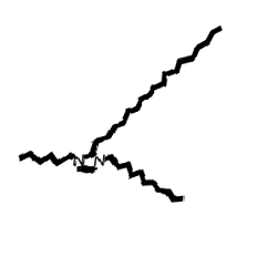 CCCCCCCCCCCCCCCCCCC1N(CCCCCC)C=CN1CCCCCCCCCCC